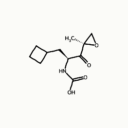 C[C@]1(C(=O)[C@H](CC2CCC2)NC(=O)O)CO1